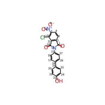 O=C1c2ccc([N+](=O)[O-])c(Cl)c2C(=O)N1c1ccc(-c2ccc(O)cc2)cc1